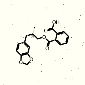 C[C@H](COC(=O)c1ccccc1C(=O)O)Cc1ccc2c(c1)OCO2